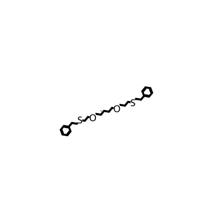 [CH](CCOCCCSCCc1ccccc1)CCOCCSCCc1ccccc1